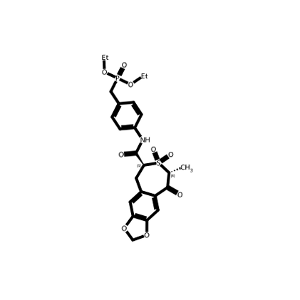 CCOP(=O)(Cc1ccc(NC(=O)[C@@H]2Cc3cc4c(cc3C(=O)[C@@H](C)S2(=O)=O)OCO4)cc1)OCC